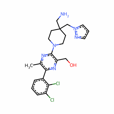 Cc1nc(N2CCC(CN)(Cn3cccn3)CC2)c(CO)nc1-c1cccc(Cl)c1Cl